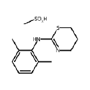 CS(=O)(=O)O.Cc1cccc(C)c1NC1=NCCCS1